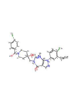 COc1cc(-n2ncc3c(=O)n(CC4(O)CCN(C(=O)c5ccc(F)cc5)CC4)cnc32)ccc1F